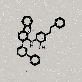 CC1C=C(CCc2ccccc2)C=CC1Nc1c(C2=CCCC(c3ccccc3)=C2)ccc2c1oc1ccccc12